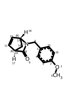 COc1ccc(CN2C(=O)[C@H]3C=C[C@H]2C3)cc1